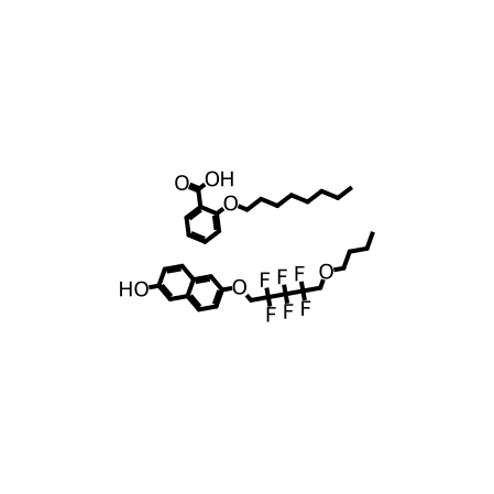 CCCCCCCCOc1ccccc1C(=O)O.CCCCOCC(F)(F)C(F)(F)C(F)(F)COc1ccc2cc(O)ccc2c1